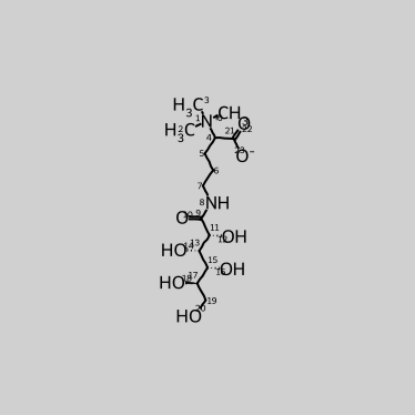 C[N+](C)(C)C(CCCNC(=O)[C@H](O)[C@@H](O)[C@H](O)[C@H](O)CO)C(=O)[O-]